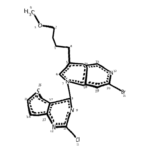 COCCCc1cn(-c2nc(Cl)nc3ccsc23)c2cc(Br)ncc12